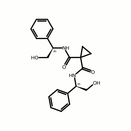 O=C(N[C@@H](CO)c1ccccc1)C1(C(=O)N[C@@H](CO)c2ccccc2)CC1